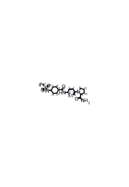 C=C(/C=C\C(CC)NC(=O)C1CCC(NS(=O)(=O)C(C)C)CC1)N1CCCC1C(N)=O